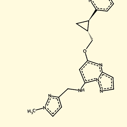 Cn1ccc(CNc2cc(OC[C@@H]3C[C@H]3c3ccccn3)nc3ccnn23)n1